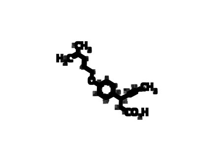 C=C(C)/C=C/COc1ccc(C(C#CC)CC(=O)O)cc1